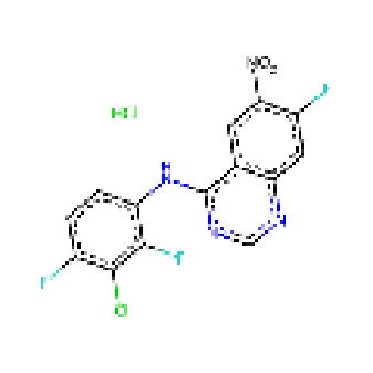 Cl.O=[N+]([O-])c1cc2c(Nc3ccc(F)c(Cl)c3F)ncnc2cc1F